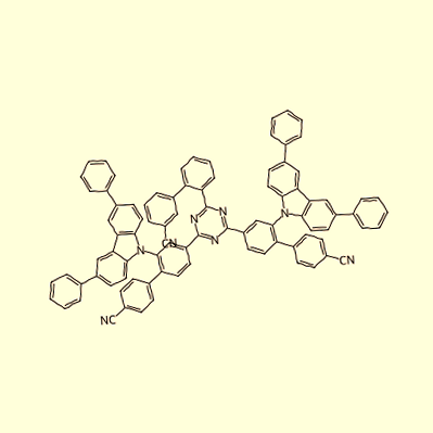 N#Cc1ccc(-c2ccc(-c3nc(-c4ccc(-c5ccc(C#N)cc5)c(-n5c6ccc(-c7ccccc7)cc6c6cc(-c7ccccc7)ccc65)c4)nc(-c4ccccc4-c4cccc(C#N)c4)n3)cc2-n2c3ccc(-c4ccccc4)cc3c3cc(-c4ccccc4)ccc32)cc1